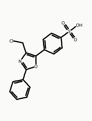 O=S(=O)(O)c1ccc(-c2oc(-c3ccccc3)nc2CCl)cc1